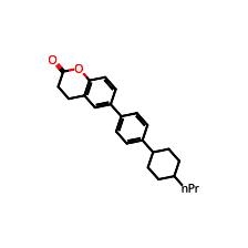 CCCC1CCC(c2ccc(-c3ccc4c(c3)CCC(=O)O4)cc2)CC1